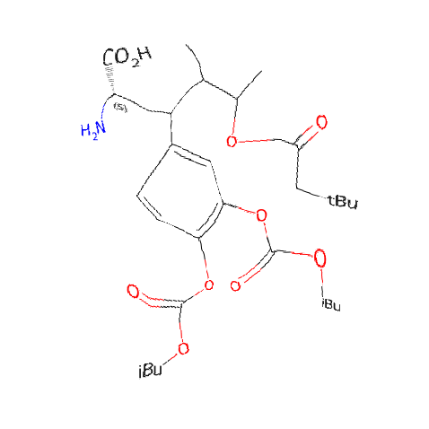 CCC(C)OC(=O)Oc1ccc(C(C(C)C(C)OC(=O)CC(C)(C)C)[C@H](N)C(=O)O)cc1OC(=O)OC(C)CC